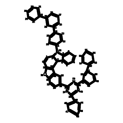 C1=CC2C(c3ccccc3N2c2ccc(-c3cccc(-c4ccccc4)c3)cc2)c2c1oc1ccc(-c3nc(-c4ccccc4)nc(-c4cccc(-c5ccccc5)c4)n3)cc21